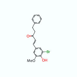 COc1cc(/C=C/C(=O)CCc2ccccc2)cc(Br)c1O